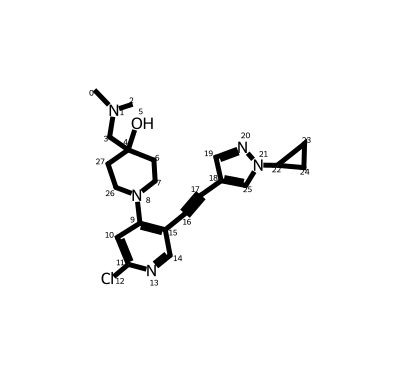 CN(C)CC1(O)CCN(c2cc(Cl)ncc2C#Cc2cnn(C3CC3)c2)CC1